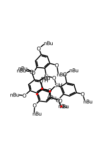 CCCCOc1cc(OCCCC)c([SiH](O[SiH](c2c(OCCCC)cc(OCCCC)cc2OCCCC)c2c(OCCCC)cc(OCCCC)cc2OCCCC)c2c(OCCCC)cc(OCCCC)cc2OCCCC)c(OCCCC)c1